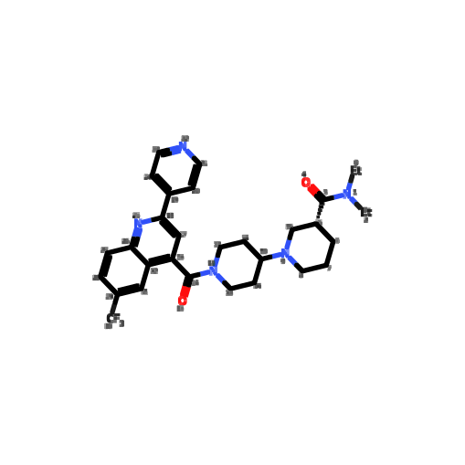 CCN(CC)C(=O)[C@@H]1CCCN(C2CCN(C(=O)c3cc(-c4ccncc4)nc4ccc(C(F)(F)F)cc34)CC2)C1